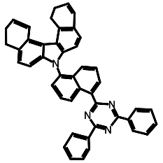 C1=Cc2c(ccc3c2c2c4c(ccc2n3-c2cccc3c(-c5nc(-c6ccccc6)nc(-c6ccccc6)n5)cccc23)C=CCC4)CC1